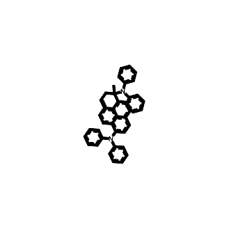 CC1(N(c2ccccc2)c2ccccc2)CC=c2ccc3c(N(c4ccccc4)c4ccccc4)ccc4ccc1c2c43